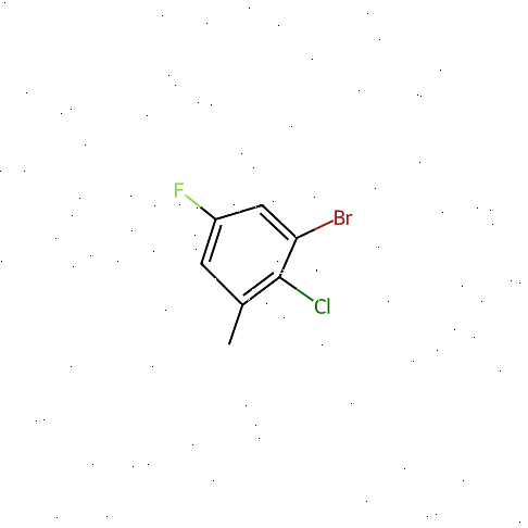 Cc1cc(F)cc(Br)c1Cl